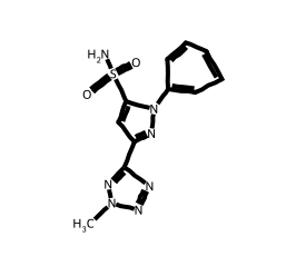 Cn1nnc(-c2cc(S(N)(=O)=O)n(-c3ccccc3)n2)n1